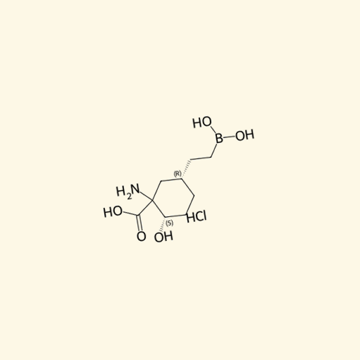 Cl.NC1(C(=O)O)C[C@H](CCB(O)O)CC[C@@H]1O